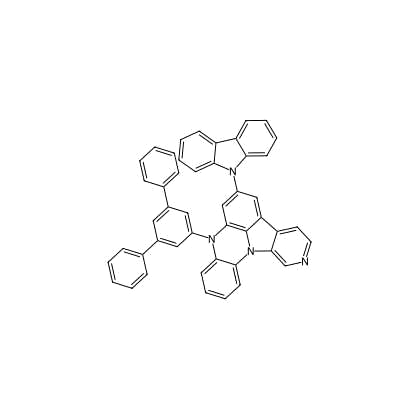 c1ccc(-c2cc(-c3ccccc3)cc(N3c4ccccc4-n4c5cnccc5c5cc(-n6c7ccccc7c7ccccc76)cc3c54)c2)cc1